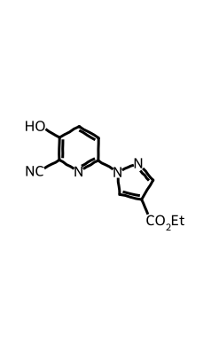 CCOC(=O)c1cnn(-c2ccc(O)c(C#N)n2)c1